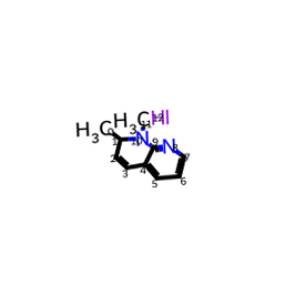 CC1C=Cc2cccnc2N1C.I